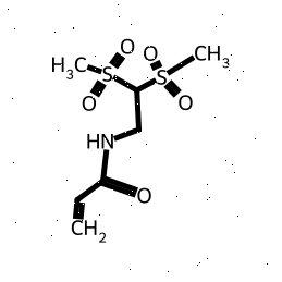 C=CC(=O)NCC(S(C)(=O)=O)S(C)(=O)=O